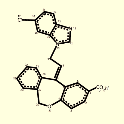 O=C(O)c1ccc2c(c1)/C(=C/Cn1cnc3ccc(Cl)cc31)c1ccccc1CO2